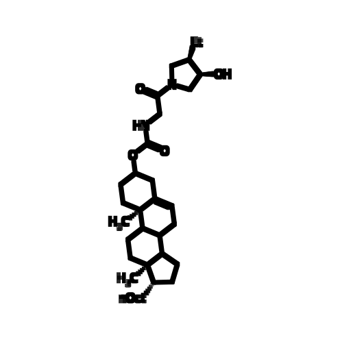 CCCCCCCC[C@H]1CCC2C3CC=C4CC(OC(=O)NCC(=O)N5C[C@@H](CC)[C@@H](O)C5)CC[C@]4(C)C3CC[C@@]21C